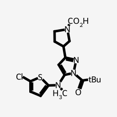 CN(c1ccc(Cl)s1)c1cc(C2CCN(C(=O)O)C2)nn1C(=O)C(C)(C)C